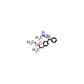 C=C(Cc1ccc(C(=O)c2ccccc2)cc1)C(=O)OCC.CNC